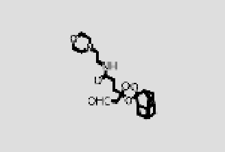 O=CCC1(CCC(=O)NCCN2CCOCC2)OOC2(O1)C1CC3CC(C1)CC2C3